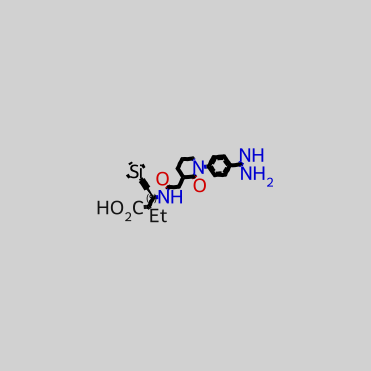 CCC(C(=O)O)[C@@H](C#C[Si](C)(C)C)NC(=O)CC1CCCN(c2ccc(C(=N)N)cc2)C1=O